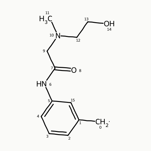 [CH2]c1cccc(NC(=O)CN(C)CCO)c1